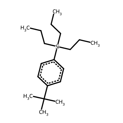 CCC[Si](CCC)(CCC)c1ccc(C(C)(C)C)cc1